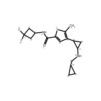 Cc1sc(C(=O)NC2CC(F)(F)C2)cc1C1CC1NCC1CC1